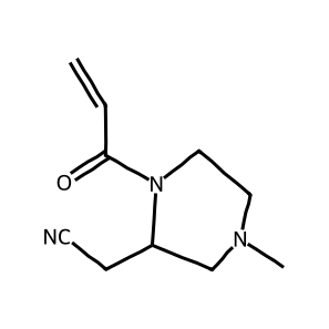 C=CC(=O)N1CCN(C)CC1CC#N